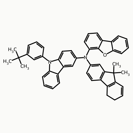 CC(C)(C)c1cccc(-n2c3ccccc3c3cc(N(c4ccc5c(c4)C(C)(C)C4=C5CCC=C4)c4cccc5c4oc4ccccc45)ccc32)c1